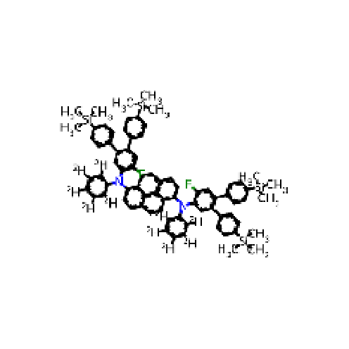 [2H]c1c([2H])c([2H])c(N(c2cc(-c3ccc([Si](C)(C)C)cc3)c(-c3ccc([Si](C)(C)C)cc3)cc2F)c2ccc3ccc4c(N(c5cc(-c6ccc([Si](C)(C)C)cc6)c(-c6ccc([Si](C)(C)C)cc6)cc5F)c5c([2H])c([2H])c([2H])c([2H])c5[2H])ccc5ccc2c3c54)c([2H])c1[2H]